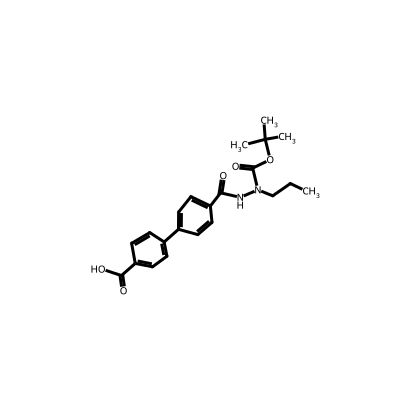 CCCN(NC(=O)c1ccc(-c2ccc(C(=O)O)cc2)cc1)C(=O)OC(C)(C)C